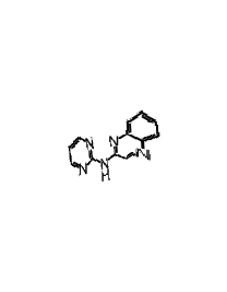 c1cnc(Nc2cnc3ccccc3n2)nc1